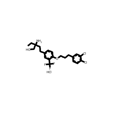 CCC(N)(CO)CCc1ccc(OCCCc2ccc(Cl)c(Cl)c2)c(C(F)(F)F)c1.Cl